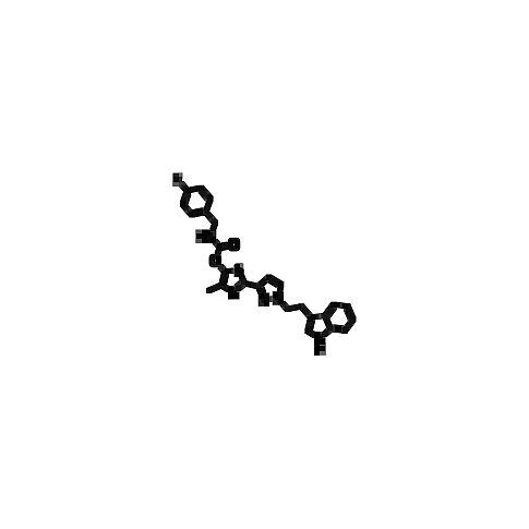 Cc1nc(-c2ccn(CCc3c[nH]c4ccccc34)n2)sc1OC(=O)NCc1ccc(F)cc1